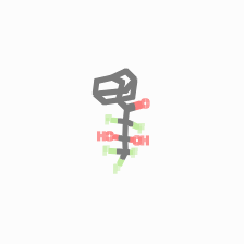 O=C(C12CC3CC(CC(C3)C1)C2)C(F)(F)C(O)(O)C(F)(F)F